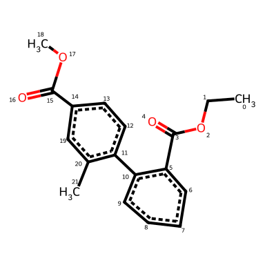 CCOC(=O)c1ccccc1-c1ccc(C(=O)OC)cc1C